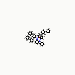 c1ccc(-c2cccc(-c3ccc(-n4c5ccccc5c5cccc(-n6c7ccccc7c7ccc([Si](c8ccccc8)(c8ccccc8)c8ccccc8)cc76)c54)cc3)c2)cc1